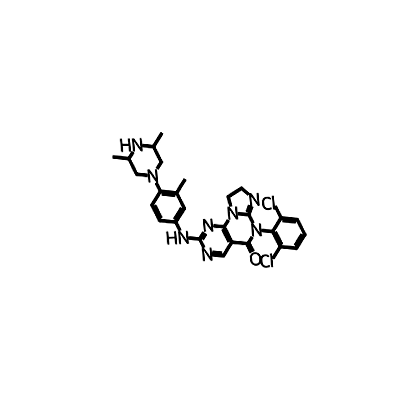 Cc1cc(Nc2ncc3c(n2)N2CCN=C2N(c2c(Cl)cccc2Cl)C3=O)ccc1N1CC(C)NC(C)C1